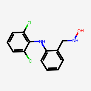 ONCc1ccccc1Nc1c(Cl)cccc1Cl